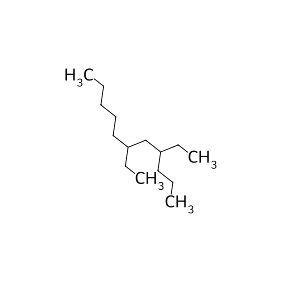 CCCCCC(CC)CC(CC)CCC